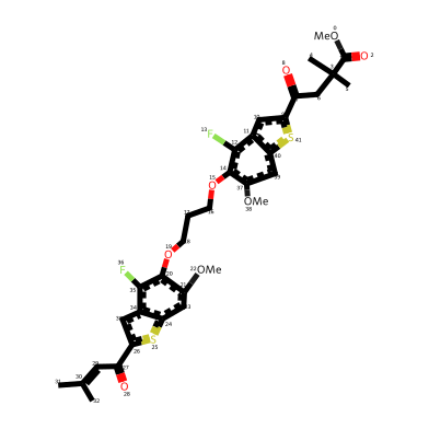 COC(=O)C(C)(C)CC(=O)c1cc2c(F)c(OCCCOc3c(OC)cc4sc(C(=O)C=C(C)C)cc4c3F)c(OC)cc2s1